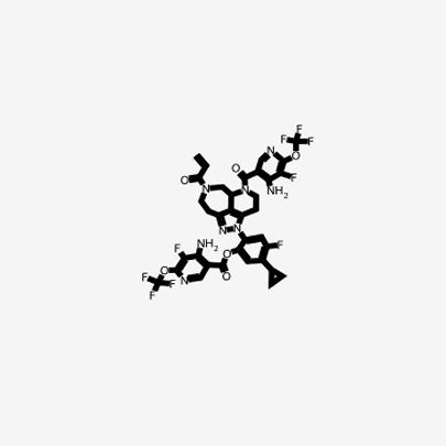 C=CC(=O)N1CCc2nn(-c3cc(F)c(C4CC4)cc3OC(=O)c3cnc(OC(F)(F)F)c(F)c3N)c3c2C(C1)N(C(=O)c1cnc(OC(F)(F)F)c(F)c1N)CC3